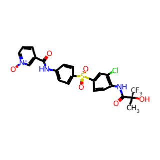 C[C@@](O)(C(=O)Nc1ccc(S(=O)(=O)c2ccc(NC(=O)c3ccc[n+]([O-])c3)cc2)cc1Cl)C(F)(F)F